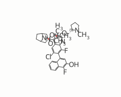 CN1CCC[C@H]1COc1nc(N2CC3CCC(C2)N3C(=O)OC(C)(C)C)c2cc(Cl)c(-c3cc(O)c(F)c4ccccc34)c(F)c2n1